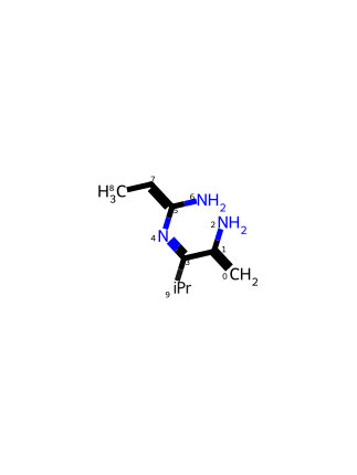 C=C(N)/C(=N\C(N)=C/C)C(C)C